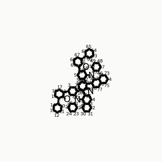 Cc1ccc2c(oc3c(-c4ccccc4)cccc32)c1N(c1ccccc1)c1c2ccccc2cc2c1c1cccc3c4c(N(c5ccccc5)c5c(C)ccc6c5oc5c(-c7ccccc7)cccc56)c5ccccc5cc4n2c13